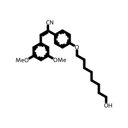 COc1cc(C=C(C#N)c2ccc(OCCCCCCCCO)cc2)cc(OC)c1